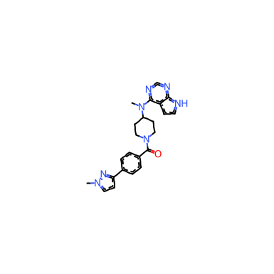 CN(c1ncnc2[nH]ccc12)C1CCN(C(=O)c2ccc(-c3ccn(C)n3)cc2)CC1